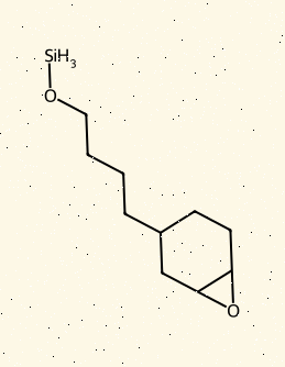 [SiH3]OCCCCC1CCC2OC2C1